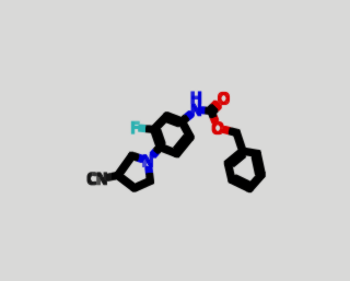 [C-]#[N+]C1CCN(c2ccc(NC(=O)OCc3ccccc3)cc2F)C1